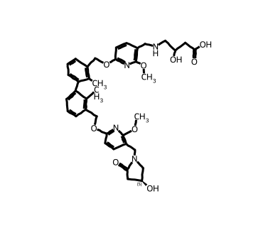 COc1nc(OCc2cccc(-c3cccc(COc4ccc(CN5C[C@@H](O)CC5=O)c(OC)n4)c3C)c2C)ccc1CNCC(O)CC(=O)O